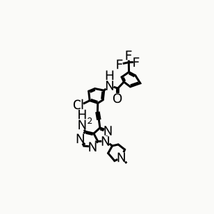 CN1CCC(n2nc(C#Cc3cc(NC(=O)c4cccc(C(F)(F)F)c4)ccc3Cl)c3c(N)ncnc32)CC1